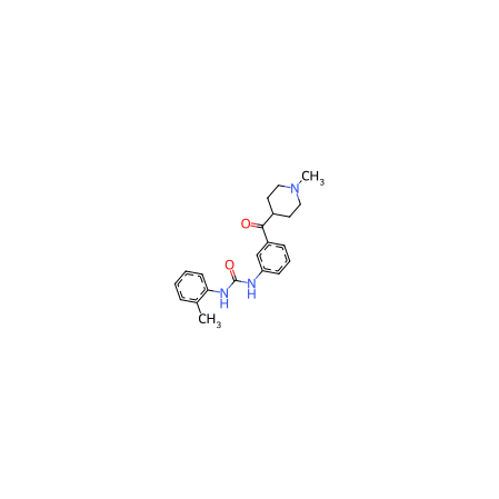 Cc1ccccc1NC(=O)Nc1cccc(C(=O)C2CCN(C)CC2)c1